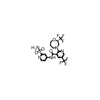 NS(=O)(=O)c1cc(NC(=O)c2cc(C(F)(F)F)cnc2N2CCCO[C@@H](C(F)(F)F)C2)ccn1